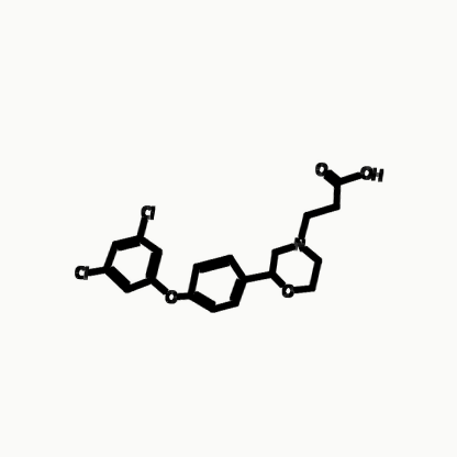 O=C(O)CCN1CCOC(c2ccc(Oc3cc(Cl)cc(Cl)c3)cc2)C1